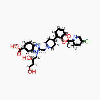 C[C@]1(c2ccc(Cl)cn2)Oc2cccc(C3CCN(Cc4nc5ccc(C(=O)O)cc5n4CC(O)CCO)CC3)c2O1